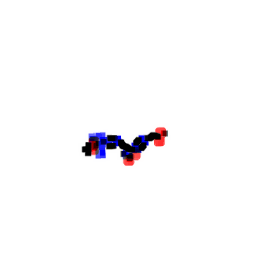 COC(=O)CCCN1CCN(C2OC(=O)N(C)C2CCCN2CCN(C(=N)NC(=O)OC(C)(C)C)CC2)CC1